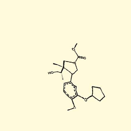 COC(=O)N1CC(c2ccc(OC)c(OC3CCCC3)c2)[C@](C)([C@H](C)O)C1